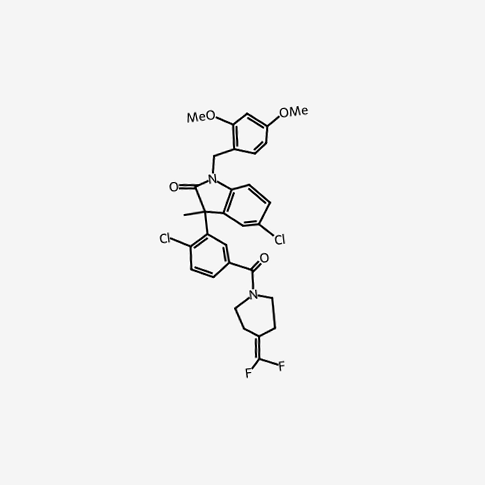 COc1ccc(CN2C(=O)C(C)(c3cc(C(=O)N4CCC(=C(F)F)CC4)ccc3Cl)c3cc(Cl)ccc32)c(OC)c1